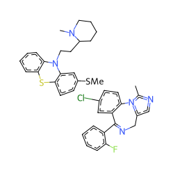 CSc1ccc2c(c1)N(CCC1CCCCN1C)c1ccccc1S2.Cc1ncc2n1-c1ccc(Cl)cc1C(c1ccccc1F)=NC2